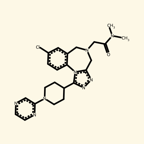 CN(C)C(=O)CN1Cc2cc(Cl)ccc2-n2c(nnc2C2CCN(c3cnccn3)CC2)C1